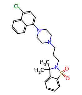 CC1(C)c2ccccc2S(=O)(=O)N1CCCN1CCN(c2ccc(Cl)c3ccccc23)CC1